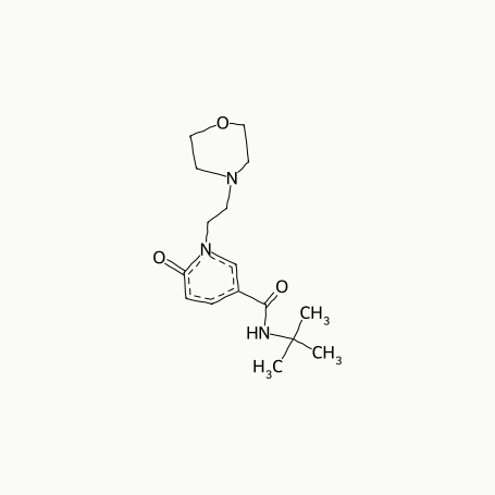 CC(C)(C)NC(=O)c1ccc(=O)n(CCN2CCOCC2)c1